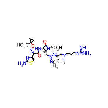 C=NN(C[C@@H]1[C@H](NC(=O)/C(=N\OC2(C(=O)O)CC2)c2csc(N)n2)C(=O)N1S(=O)(=O)O)/N=C(\C)CNCCCNC(=N)N